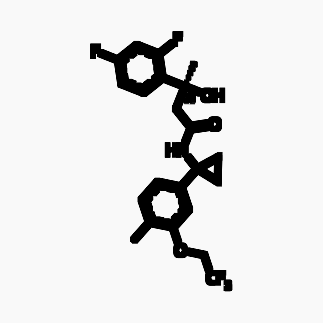 Cc1ccc(C2(NC(=O)C[C@](C)(O)c3ccc(F)cc3F)CC2)cc1OCC(F)(F)F